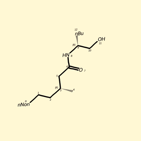 CCCCCCCCCCC[C@@H](C)CC(=O)N[C@@H](CO)CCCC